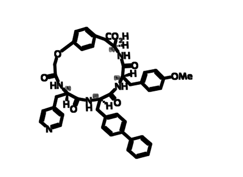 COc1ccc(C[C@@H]2NC(=O)[C@@H](Cc3ccc(-c4ccccc4)cc3)NC(=O)[C@H](Cc3ccncc3)NC(=O)COc3ccc(cc3)C[C@@H](C(=O)O)NC2=O)cc1